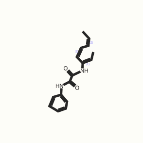 C\C=C/C=C\C(=C/C)NC(=O)C(=O)Nc1ccccc1